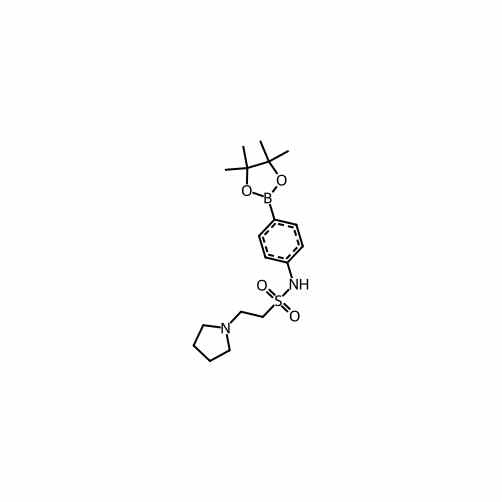 CC1(C)OB(c2ccc(NS(=O)(=O)CCN3CCCC3)cc2)OC1(C)C